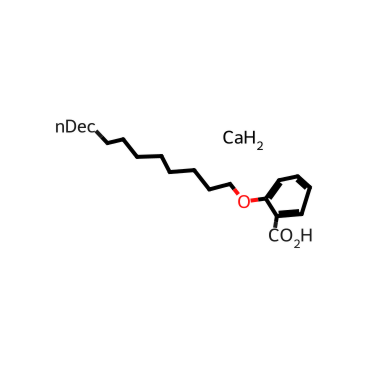 CCCCCCCCCCCCCCCCCCOc1ccccc1C(=O)O.[CaH2]